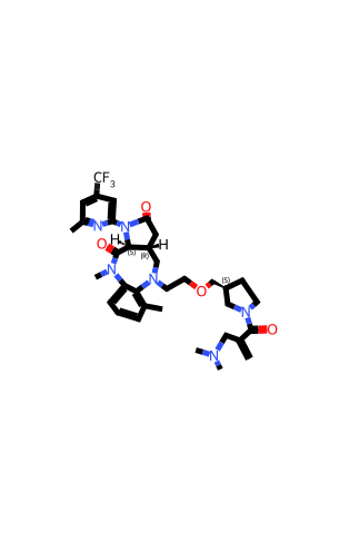 C=C(CN(C)C)C(=O)N1CC[C@H](COCCN2C[C@H]3CC(=O)N(c4cc(C(F)(F)F)cc(C)n4)[C@@H]3C(=O)N(C)c3cccc(C)c32)C1